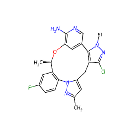 CCn1nc(Cl)c2c1-c1cnc(N)c(c1)O[C@H](C)c1cc(F)ccc1-n1nc(C)cc1C2